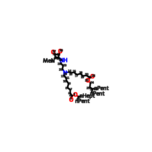 CCCCCCCC(CCCCC)OC(=O)CCCCCCCN(CCCCCCCC(=O)OCCC(CCCCC)CCCCC)CCCNc1c(NC)c(=O)c1=O